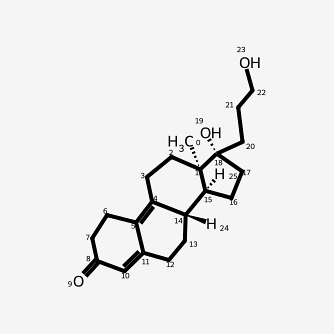 C[C@@]12CCC3=C4CCC(=O)C=C4CC[C@H]3[C@@H]1CC[C@]2(O)CCCO